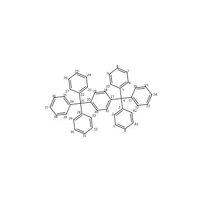 c1ccc(C(c2ccccc2)(c2ccccc2)c2ccc(C(c3ccccc3)(c3ccccc3)c3ccccc3)cc2)cc1